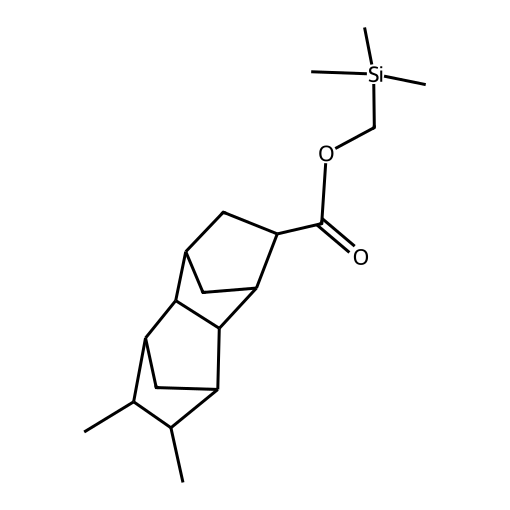 CC1C(C)C2CC1C1C3CC(C(=O)OC[Si](C)(C)C)C(C3)C21